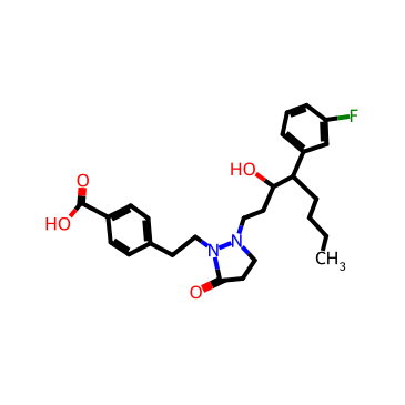 CCCCC(c1cccc(F)c1)C(O)CCN1CCC(=O)N1CCc1ccc(C(=O)O)cc1